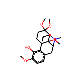 COc1ccc2c(c1O)[C@@]13CCN(C)C(C2)C1(OC)CC(OC)(OC)CC3